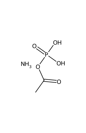 CC(=O)OP(=O)(O)O.N